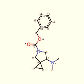 CN(C)C1CN(C(=O)OCc2ccccc2)CC12CC2